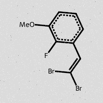 COc1cccc(C=C(Br)Br)c1F